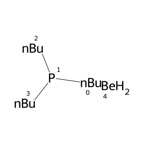 CCCCP(CCCC)CCCC.[BeH2]